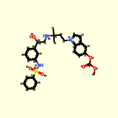 COC(=O)Oc1ccc2c(ccn2CCC(C)(C)NC[C@H](O)c2cccc(NS(=O)(=O)c3ccccc3)c2)c1